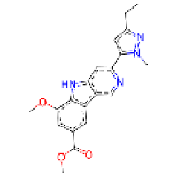 CCc1cc(-c2cc3[nH]c4c(OC)cc(C(=O)OC)cc4c3cn2)n(C)n1